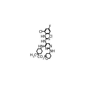 CC1(C(=O)O)CCC(Nc2nc(NC3CCOCC3)ncc2NC(=S)Nc2c(Cl)cc(F)cc2Cl)CC1